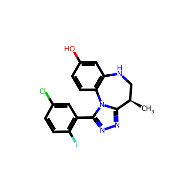 C[C@@H]1CNc2cc(O)ccc2-n2c(-c3cc(Cl)ccc3F)nnc21